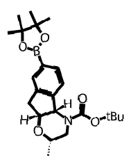 C[C@H]1CN(C(=O)OC(C)(C)C)[C@H]2c3ccc(B4OC(C)(C)C(C)(C)O4)cc3C[C@H]2O1